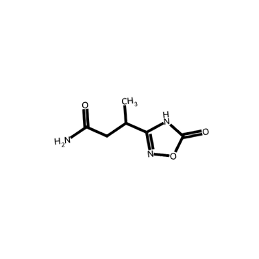 CC(CC(N)=O)c1noc(=O)[nH]1